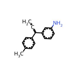 C=C=C(c1ccc(C)cc1)c1cccc(N)c1